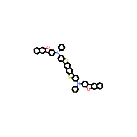 c1ccc(N(c2ccc3c(c2)oc2cc4ccccc4cc23)c2ccc3c(c2)sc2cc4cc5c(cc4cc23)sc2cc(N(c3ccccc3)c3ccc4c(c3)oc3cc6ccccc6cc34)ccc25)cc1